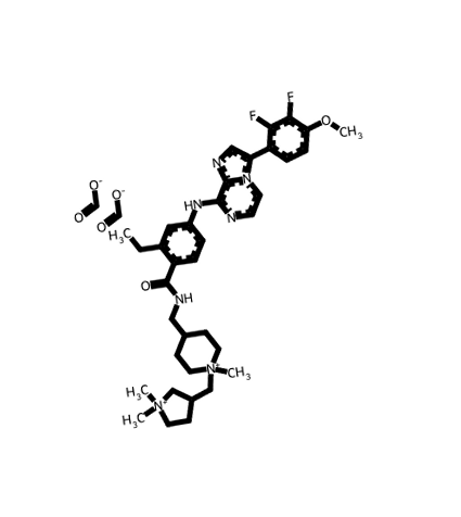 CCc1cc(Nc2nccn3c(-c4ccc(OC)c(F)c4F)cnc23)ccc1C(=O)NCC1CC[N+](C)(CC2CC[N+](C)(C)C2)CC1.O=C[O-].O=C[O-]